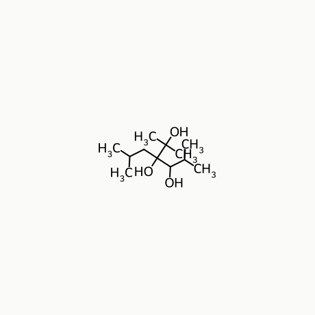 CC(C)CC(O)(C(O)C(C)C)C(C)(C)O